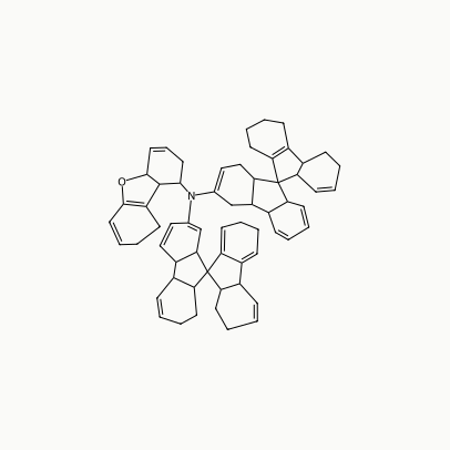 C1=CC2C3CC(N(C4=CC5C(C=C4)C4C=CCCC4C54C5=CCCC=C5C5C=CCCC54)C4CC=CC5OC6=C(CCC=C6)C54)=CCC3C3(C4=C(CCCC4)C4CCC=CC43)C2C=C1